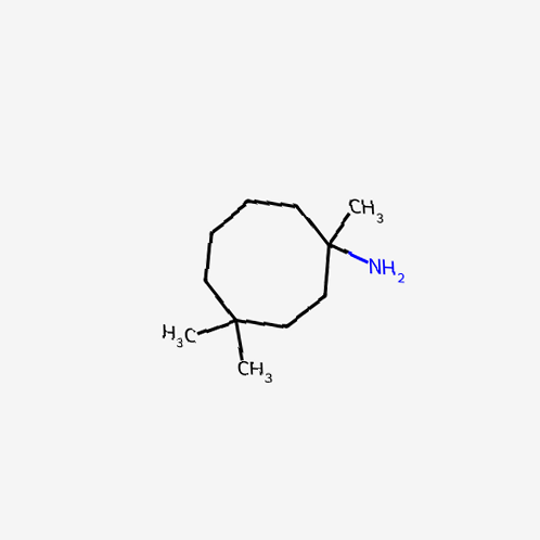 CC1(C)CCCCC(C)(N)CC1